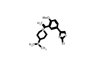 C=C(c1cc(-c2csc(CC)n2)ccc1OC)N1CCC(N(C)C)CC1